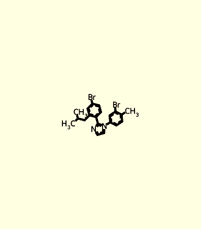 Cc1ccc(-n2ccnc2-c2ccc(Br)cc2CC(C)C)cc1Br